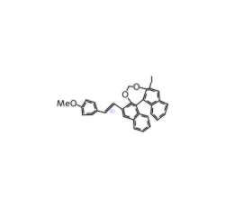 COc1ccc(/C=C/c2cc3ccccc3c3c2OCOc2c(I)cc4ccccc4c2-3)cc1